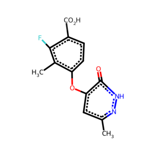 Cc1cc(Oc2ccc(C(=O)O)c(F)c2C)c(=O)[nH]n1